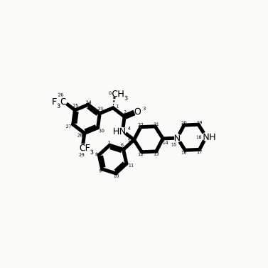 C[C@H](C(=O)NC1(c2ccccc2)CCC(N2CCNCC2)CC1)c1cc(C(F)(F)F)cc(C(F)(F)F)c1